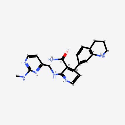 CNc1nccc(CNc2nccc(-c3ccc4c(c3)NCCC4)c2C(N)=O)n1